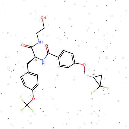 O=C(N[C@@H](Cc1ccc(OC(F)(F)F)cc1)C(=O)NCCO)c1ccc(OC[C@@H]2CC2(F)F)cc1